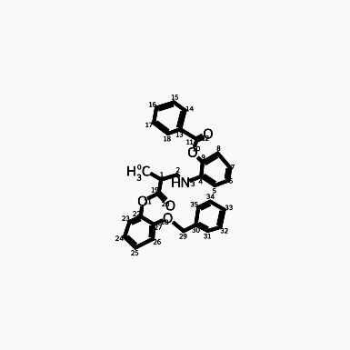 CC(CNc1ccccc1OC(=O)c1ccccc1)C(=O)Oc1ccccc1OCc1ccccc1